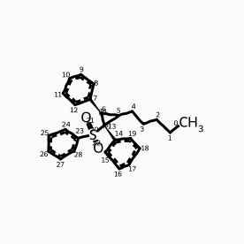 CCCCCC1[C@H](c2ccccc2)[C@@]1(c1ccccc1)S(=O)(=O)c1ccccc1